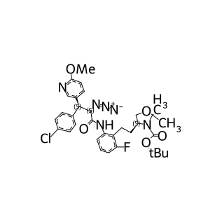 COc1ccc([C@H](c2ccc(Cl)cc2)[C@H](N=[N+]=[N-])C(=O)Nc2cccc(F)c2CC[C@H]2COC(C)(C)N2C(=O)OC(C)(C)C)cn1